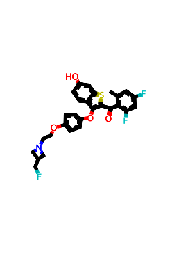 Cc1cc(F)cc(F)c1C(=O)c1sc2cc(O)ccc2c1Oc1ccc(OCCN2CC(CF)C2)cc1